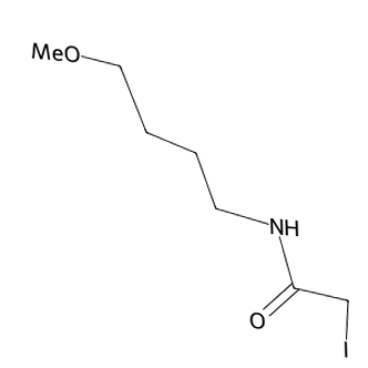 COCCCCNC(=O)CI